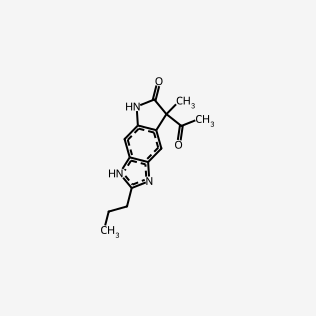 CCCc1nc2cc3c(cc2[nH]1)NC(=O)C3(C)C(C)=O